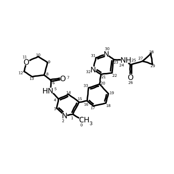 Cc1ncc(NC(=O)C2CCOCC2)cc1-c1cccc(-c2cc(NC(=O)C3CC3)ncn2)c1